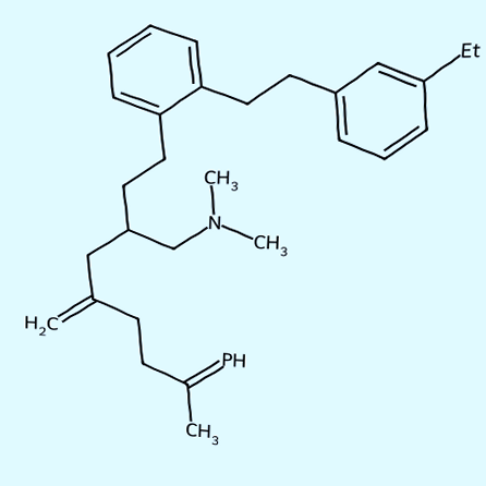 C=C(CCC(C)=P)CC(CCc1ccccc1CCc1cccc(CC)c1)CN(C)C